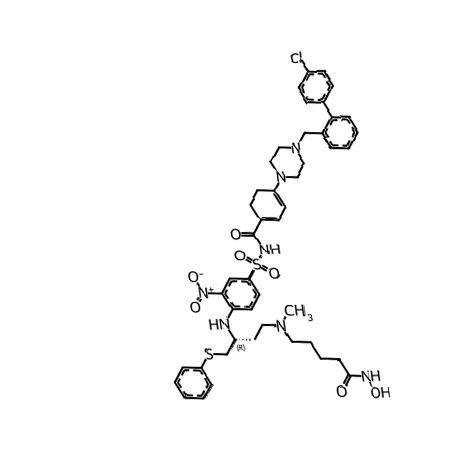 CN(CCCCC(=O)NO)CC[C@H](CSc1ccccc1)Nc1ccc(S(=O)(=O)NC(=O)C2=CC=C(N3CCN(Cc4ccccc4-c4ccc(Cl)cc4)CC3)CC2)cc1[N+](=O)[O-]